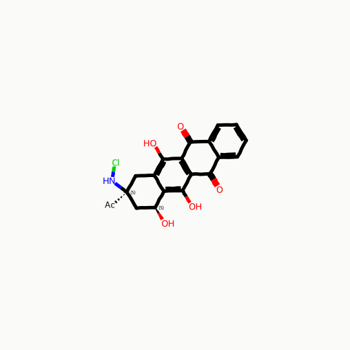 CC(=O)[C@]1(NCl)Cc2c(O)c3c(c(O)c2[C@@H](O)C1)C(=O)c1ccccc1C3=O